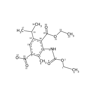 CCOC(=O)Nc1c(C)c([N+](=O)[O-])cc(C(C)C)c1C(=O)OCC